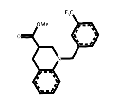 COC(=O)C1Cc2ccccc2N(Cc2cccc(C(F)(F)F)c2)C1